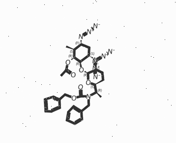 CC(=O)O[C@@H]1[C@@H](C)[C@H](N=[N+]=[N-])C[C@H](N=[N+]=[N-])[C@H]1O[C@H]1O[C@H]([C@@H](C)N(Cc2ccccc2)C(=O)OCc2ccccc2)CC[C@@H]1N=[N+]=[N-]